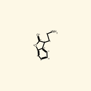 NCCC1C(=O)Oc2ccccc21